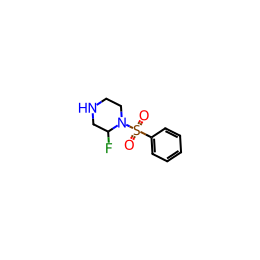 O=S(=O)(c1ccccc1)N1CCNCC1F